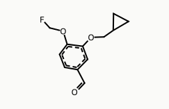 O=Cc1ccc(OCF)c(OCC2CC2)c1